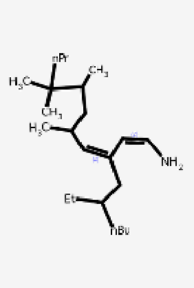 CCCCC(CC)CC(/C=C\N)=C/C(C)CC(C)C(C)(C)CCC